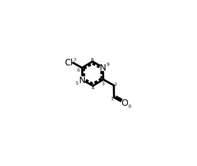 O=CCc1cnc(Cl)cn1